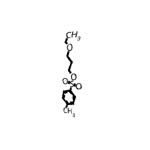 CCOCCCOS(=O)(=O)c1ccc(C)cc1